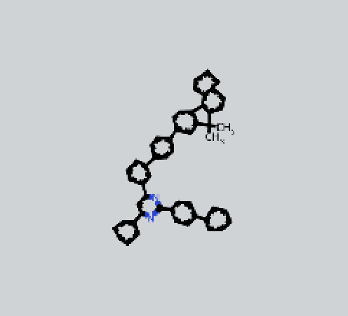 CC1(C)c2cc(-c3ccc(-c4cccc(-c5cc(-c6ccccc6)nc(-c6ccc(-c7ccccc7)cc6)n5)c4)cc3)ccc2-c2c1ccc1ccccc21